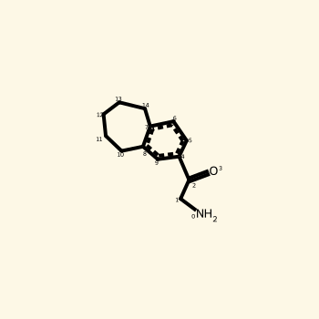 NCC(=O)c1ccc2c(c1)CCCCC2